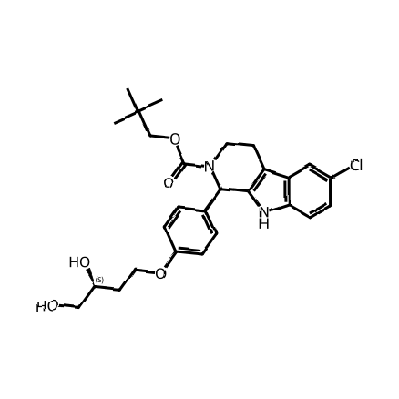 CC(C)(C)COC(=O)N1CCc2c([nH]c3ccc(Cl)cc23)C1c1ccc(OCC[C@H](O)CO)cc1